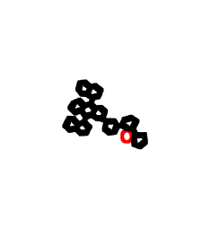 c1cc(-c2ccc3c(-c4cccc5ccccc45)c4ccccc4c(-c4cccc5ccccc45)c3c2)cc(-c2cccc3c2oc2ccccc23)c1